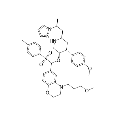 COCCCN1CCOc2ccc(C(O[C@H]3CN[C@@H](C[C@H](C)n4cccn4)C[C@@H]3c3ccc(OC)cc3)S(=O)(=O)c3ccc(C)cc3)cc21